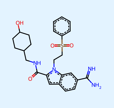 N=C(N)c1ccc2cc(C(=O)NCC3CCC(O)CC3)n(CCS(=O)(=O)c3ccccc3)c2c1